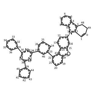 C1=Cc2c(c3ccccc3n2-c2ccc3c(c2)oc2cccc(-c4cccc(-c5nc(-c6ccccc6)nc(-c6ccccc6)n5)c4)c23)CC1